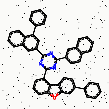 c1ccc(-c2ccc3c(c2)oc2cccc(-c4nc(-c5ccc6ccccc6c5)nc(-c5cc(-c6ccccc6)c6ccccc6c5)n4)c23)cc1